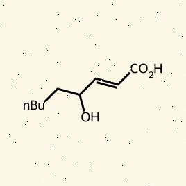 CCCCCC(O)C=CC(=O)O